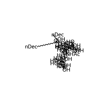 CCCCCCCCCCCCC/C=C/[C@@H](O)[C@H](CO[C@@H]1OC(CO)[C@@H](O[C@@H]2OC(CO)[C@H](O[C@@H]3OC(CO)[C@H](O)[C@H](O[C@@H]4OC(CO)[C@H](O)[C@H](O[C@]5(C(=O)O)CC(O)[C@@H](NC(=O)CO)C([C@H](O)[C@H](O)CO)O5)C4O)C3NC(C)=O)[C@H](O[C@]3(C(=O)O)CC(O)[C@@H](NC(=O)CO)C([C@H](O)[C@H](O)CO)O3)C2O)[C@H](O)C1O)NC(=O)CCCCCCCCCCCCCCCCCCCCCCCCC